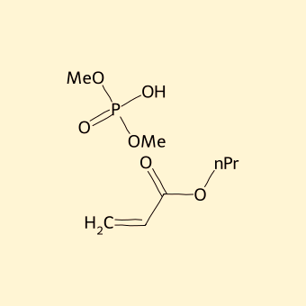 C=CC(=O)OCCC.COP(=O)(O)OC